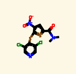 CN(C)C(=O)c1cc([N+](=O)[O-])c(Sc2c(Cl)cncc2Cl)s1